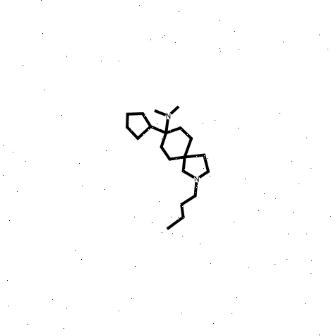 CCCCN1CCC2(CCC(C3CCCC3)(N(C)C)CC2)C1